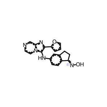 O/N=C1\CCc2cc(Nc3c(-c4ccco4)nc4cnccn34)ccc21